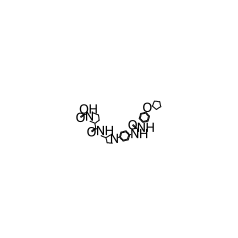 O=C(Nc1ccc(OC2CCCC2)cc1)Nc1ccc(N2CCC(CNC(=O)C3CCCN(C(=O)O)C3)C2)cc1